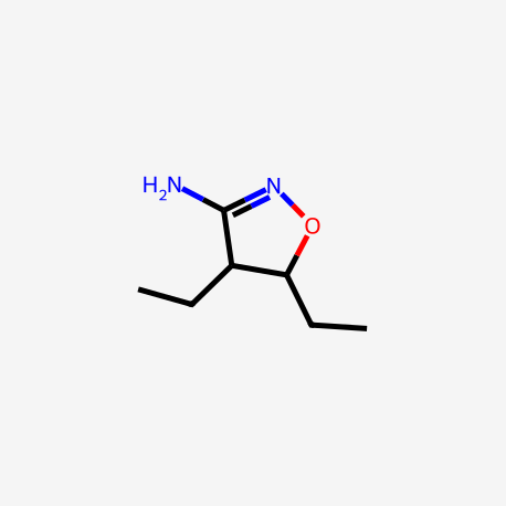 CCC1ON=C(N)C1CC